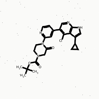 CC(C)(C)OC(=O)N1CCN(c2cc(-c3cnc4[nH]cc(C5CC5)c4c3Cl)ccn2)C(=O)C1